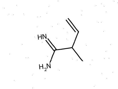 C=CC(C)C(=N)N